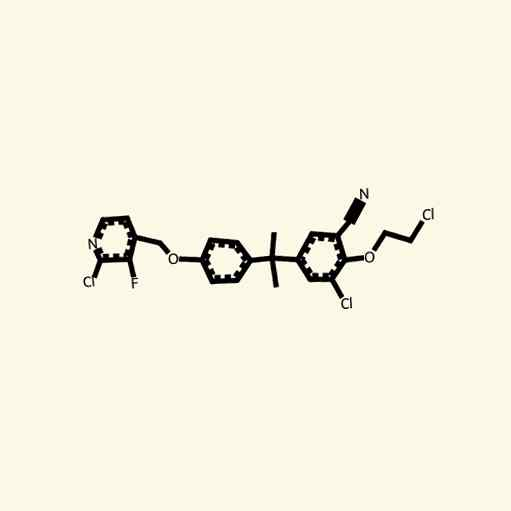 CC(C)(c1ccc(OCc2ccnc(Cl)c2F)cc1)c1cc(Cl)c(OCCCl)c(C#N)c1